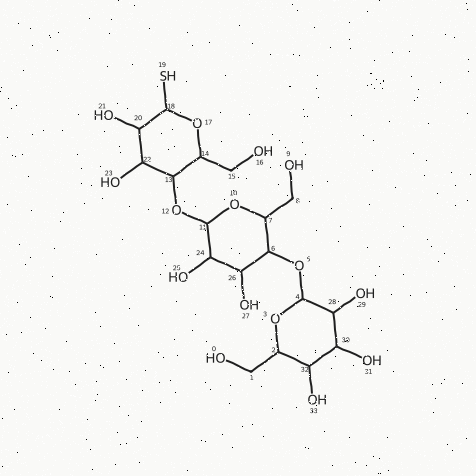 OCC1OC(OC2C(CO)OC(OC3C(CO)OC(S)C(O)C3O)C(O)C2O)C(O)C(O)C1O